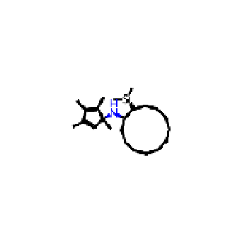 CC1=CC(C)(NC2CCCCCCCCCCC2=[Si](C)C)C(C)=C1C